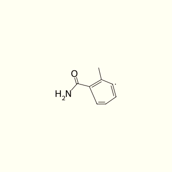 Cc1[c]cccc1C(N)=O